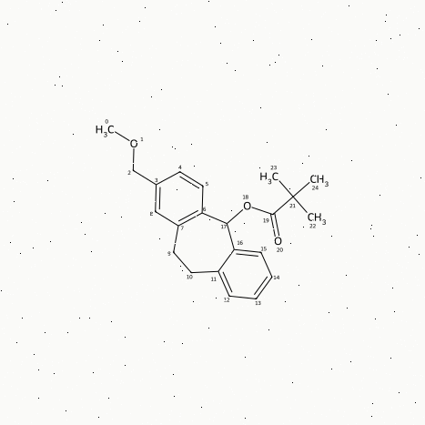 COCc1ccc2c(c1)CCc1ccccc1C2OC(=O)C(C)(C)C